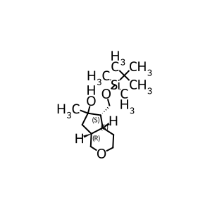 CC1(O)C[C@H]2COCC[C@H]2[C@H]1CO[Si](C)(C)C(C)(C)C